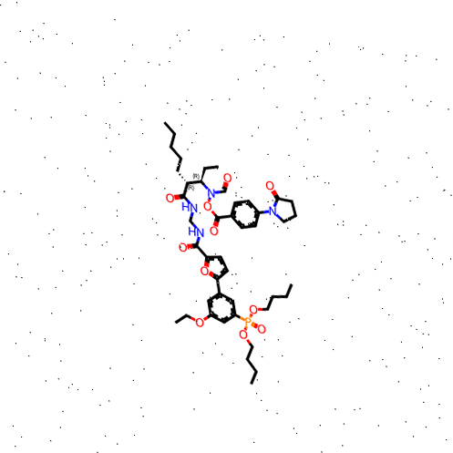 CCCCC[C@@H](C(=O)NCNC(=O)c1ccc(-c2cc(OCC)cc(P(=O)(OCCCC)OCCCC)c2)o1)[C@@H](CC)N(C=O)OC(=O)c1ccc(N2CCCC2=O)cc1